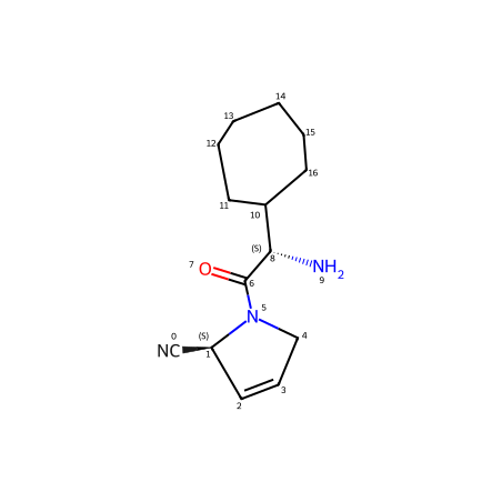 N#C[C@@H]1C=CCN1C(=O)[C@@H](N)C1CCCCCC1